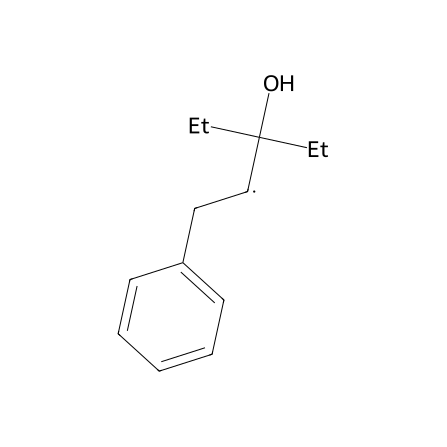 CCC(O)([CH]Cc1ccccc1)CC